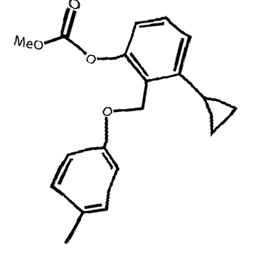 COC(=O)Oc1cccc(C2CC2)c1COc1ccc(C)cc1